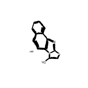 Br.Oc1csc2nc3c4ccccc4ccc3n12